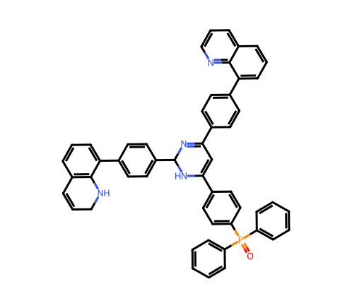 O=P(c1ccccc1)(c1ccccc1)c1ccc(C2=CC(c3ccc(-c4cccc5cccnc45)cc3)=NC(c3ccc(-c4cccc5c4NCC=C5)cc3)N2)cc1